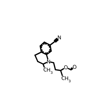 CC(CCN1c2cc(C#N)ccc2CCC1C)OC=O